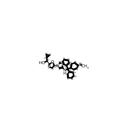 COc1ccc(C(NC2=CN([C@H]3CS[C@@H](C(O)C4CC4)O3)CS2)(c2ccccc2)c2ccccc2)cc1